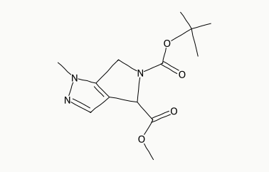 COC(=O)C1c2cnn(C)c2CN1C(=O)OC(C)(C)C